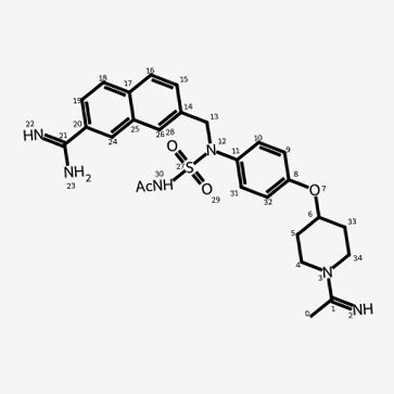 CC(=N)N1CCC(Oc2ccc(N(Cc3ccc4ccc(C(=N)N)cc4c3)S(=O)(=O)NC(C)=O)cc2)CC1